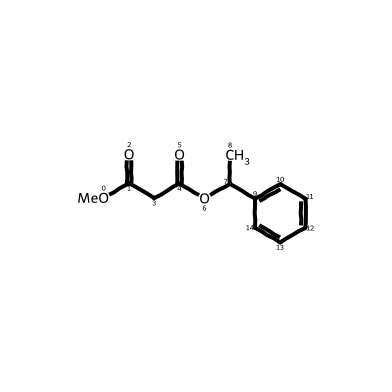 COC(=O)CC(=O)OC(C)c1ccccc1